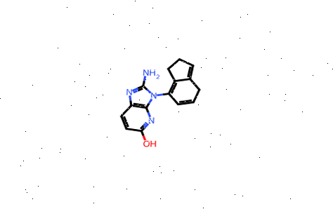 Nc1nc2ccc(O)nc2n1C1=C2CCC=C2CC=C1